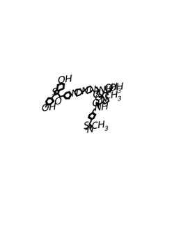 Cc1ncsc1-c1ccc(CNC(=O)C2CCCN2C(=O)[C@@H](NC(=O)CN2CCN(C3CCN(c4ccc(C(=O)c5c(-c6ccc(O)cc6)sc6cc(O)ccc56)cc4)CC3)CC2)C(C)(C)CO)cc1